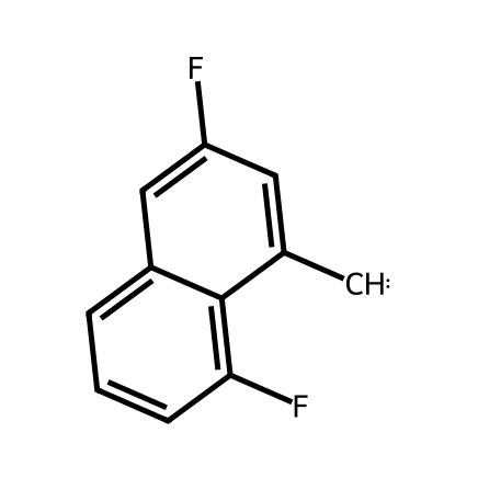 [CH]c1cc(F)cc2cccc(F)c12